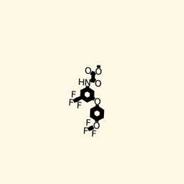 COC(=O)C(=O)Nc1cc(Oc2ccc(OC(F)(F)F)cc2)cc(C(F)(F)F)c1